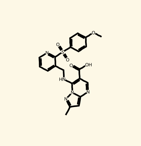 COc1ccc(S(=O)(=O)c2ncccc2CNc2c(C(=O)O)cnc3cc(C)nn23)cc1